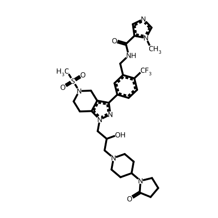 Cn1cncc1C(=O)NCc1cc(-c2nn(CC(O)CN3CCC(N4CCCC4=O)CC3)c3c2CN(S(C)(=O)=O)CC3)ccc1C(F)(F)F